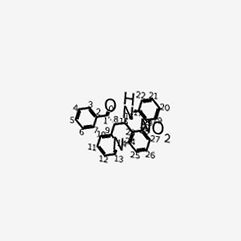 O=C(c1ccccc1)[C@@H](c1ccccn1)[C@H](Nc1ccccc1)c1ccccc1[N+](=O)[O-]